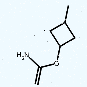 C=C(N)OC1CC(C)C1